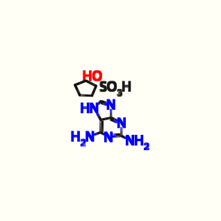 C1CCCC1.Nc1nc(N)c2[nH]cnc2n1.O=S(=O)(O)O